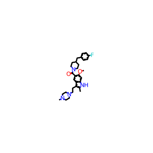 COc1cc2[nH]c(C)c(CCN3CCN(C)CC3)c2cc1C(=O)N1CCC(Cc2ccc(F)cc2)CC1